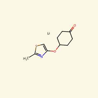 Cc1nc(OC2CCC(=O)CC2)cs1.[Li]